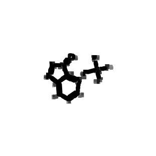 F[B-](F)(F)F.O=[N+]1N=Nc2cccnc21